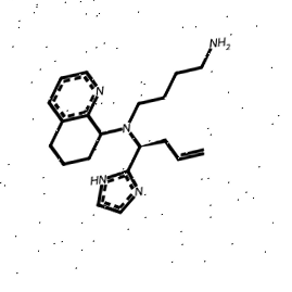 C=CC[C@@H](c1ncc[nH]1)N(CCCCN)C1CCCc2cccnc21